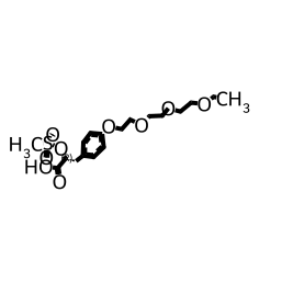 CCOCCOCCOCCOc1ccc(C[C@@H](OS(C)(=O)=O)C(=O)O)cc1